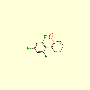 COc1[c]cccc1-c1c(F)cc(F)cc1F